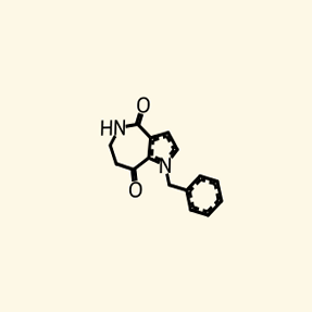 O=C1NCCC(=O)c2c1ccn2Cc1ccccc1